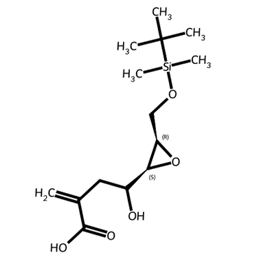 C=C(CC(O)[C@@H]1O[C@@H]1CO[Si](C)(C)C(C)(C)C)C(=O)O